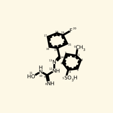 Cc1ccc(S(=O)(=O)O)cc1.N=C(NO)N/N=C/c1cccc(F)c1